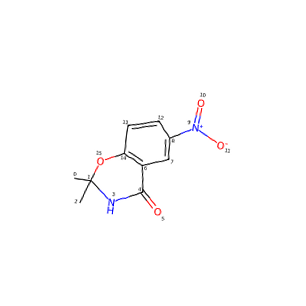 CC1(C)NC(=O)c2cc([N+](=O)[O-])ccc2O1